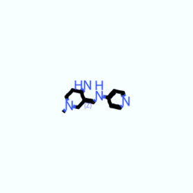 CN1CCC(=N)/C(=C\Nc2ccncc2)C1